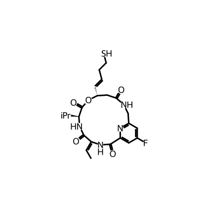 C/C=C1\NC(=O)c2cc(F)cc(n2)CNC(=O)C[C@@H](/C=C/CCS)OC(=O)[C@H](C(C)C)NC1=O